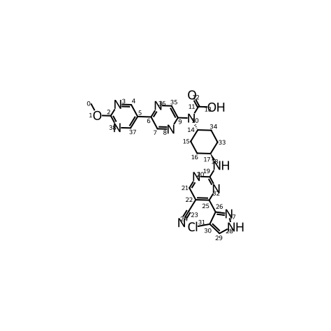 COc1ncc(-c2cnc(N(C(=O)O)[C@H]3CC[C@H](Nc4ncc(C#N)c(-c5n[nH]cc5Cl)n4)CC3)cn2)cn1